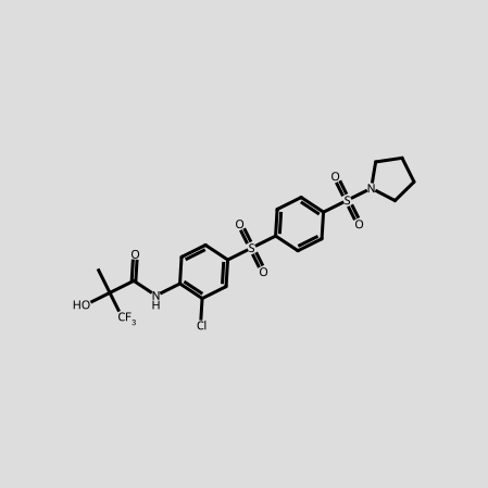 CC(O)(C(=O)Nc1ccc(S(=O)(=O)c2ccc(S(=O)(=O)N3CCCC3)cc2)cc1Cl)C(F)(F)F